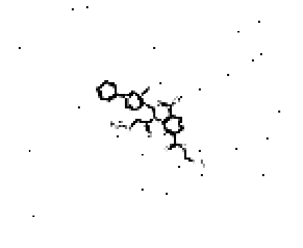 CCOC(=O)c1ccc([N+](=O)[O-])c(N(Cc2ccc(-c3ccccc3)cc2Cl)C(=O)COC)c1